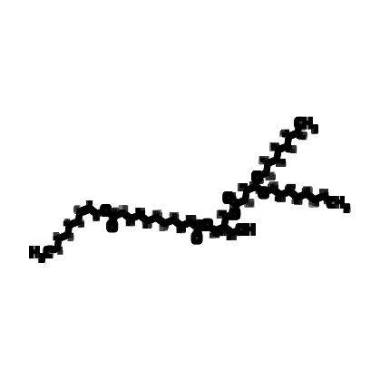 CCCCCC/C=C\COC(=O)CCCCCCCCCC(=O)OCC(CO)COC(=O)CCC(OCCCCCCCC)OCCCCCCCC